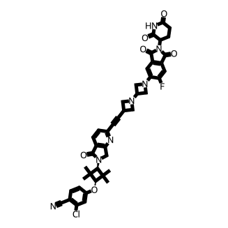 CC1(C)[C@H](Oc2ccc(C#N)c(Cl)c2)C(C)(C)[C@H]1N1Cc2nc(C#CC3CN(C4CN(c5cc6c(cc5F)C(=O)N(C5CCC(=O)NC5=O)C6=O)C4)C3)ccc2C1=O